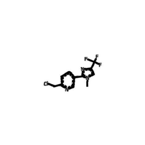 Cn1cc(C(F)(F)F)nc1-c1ccc(CCl)nc1